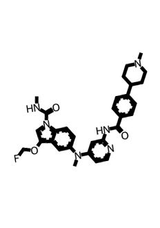 CNC(=O)n1cc(OCF)c2cc(N(C)c3ccnc(NC(=O)c4ccc(C5CCN(C)CC5)cc4)c3)ccc21